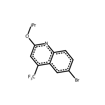 CC(C)Oc1cc(C(F)(F)F)c2cc(Br)ccc2n1